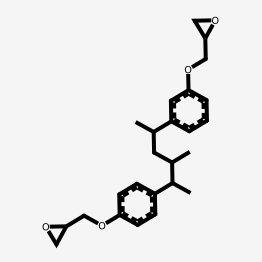 CC(CC(C)C(C)c1ccc(OCC2CO2)cc1)c1cccc(OCC2CO2)c1